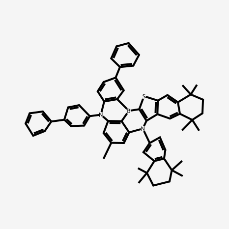 Cc1cc2c3c(c1)N(c1ccc4c(c1)C(C)(C)CCC4(C)C)c1c(sc4cc5c(cc14)C(C)(C)CCC5(C)C)B3c1cc(-c3ccccc3)ccc1N2c1ccc(-c2ccccc2)cc1